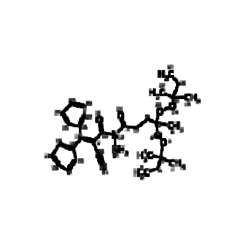 CCC(C)(C)OOC(C)(CCC(=O)N(N)C(=O)C(C#N)=C(c1ccccc1)c1ccccc1)OOC(C)(C)CC